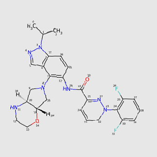 CC(C)n1ncc2c(N3C[C@@H]4NCCO[C@H]4C3)c(NC(=O)C3=NN(c4c(F)cccc4F)CC=C3)ccc21